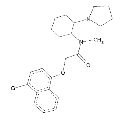 CN(C(=O)COc1ccc(Cl)c2ccccc12)C1CCCCC1N1CCCC1